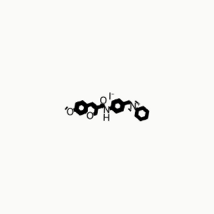 COc1ccc2c(c1)OCC(C(=O)Nc1ccc(C[N+](C)(C)C3CCCCC3)cc1)=C2.[I-]